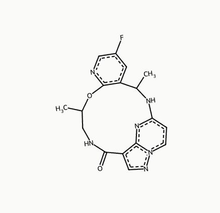 CC1CNC(=O)c2cnn3ccc(nc23)NC(C)c2cc(F)cnc2O1